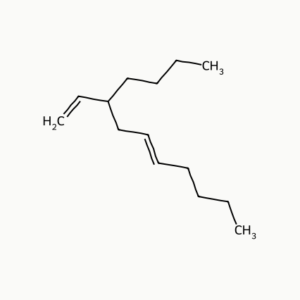 C=CC(CC=CCCCC)CCCC